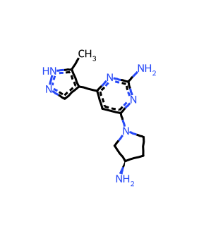 Cc1[nH]ncc1-c1cc(N2CC[C@@H](N)C2)nc(N)n1